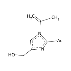 C=C(C)n1cc(CO)nc1C(C)=O